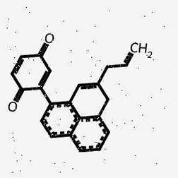 C=CCC1=Cc2c(C3=CC(=O)C=CC3=O)ccc3cccc(c23)C1